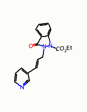 CCOC(=O)n1c2ccccc2c(=O)n1CC=Cc1cccnc1